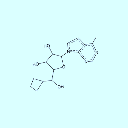 Cc1ncnc2c1ccn2C1OC(C(O)C2CCC2)C(O)C1O